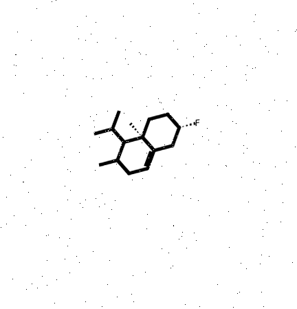 CC(C)C1C(C)CC=C2C[C@@H](F)CC[C@@]21C